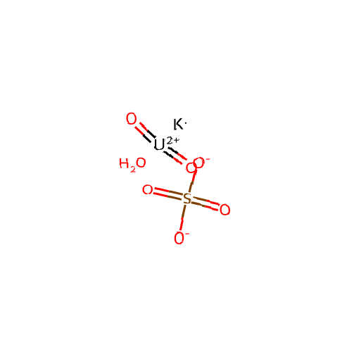 O.O=S(=O)([O-])[O-].[K].[O]=[U+2]=[O]